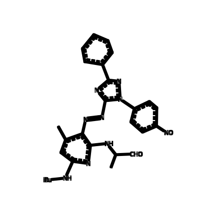 CCC(C)Nc1cc(C)c(N=Nc2nc(-c3ccccc3)nn2-c2ccc(N=O)cc2)c(NC(C)C=O)n1